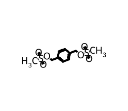 CS(=O)(=O)OCc1ccc(COS(C)(=O)=O)cc1